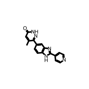 Cc1cc(=O)[nH]nc1-c1ccc2[nH]c(-c3ccncc3)nc2c1